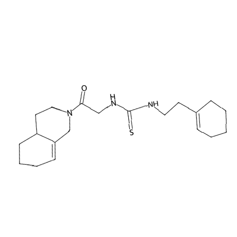 O=C(CNC(=S)NCCC1=CCCCC1)N1CCC2CCCC=C2C1